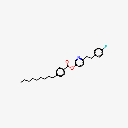 CCCCCCCCCc1ccc(C(=O)Oc2ccc(CCc3ccc(F)cc3)nc2)cc1